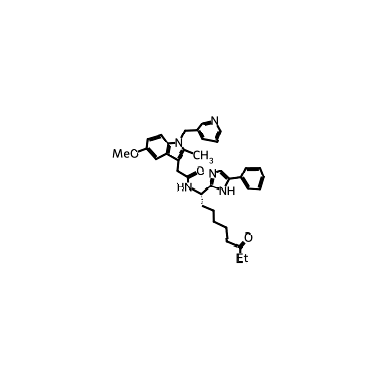 CCC(=O)CCCCC[C@H](NC(=O)Cc1c(C)n(Cc2cccnc2)c2ccc(OC)cc12)c1ncc(-c2ccccc2)[nH]1